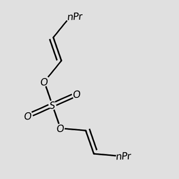 CCCC=COS(=O)(=O)OC=CCCC